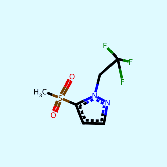 CS(=O)(=O)c1[c]cnn1CC(F)(F)F